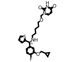 O=c1ccn(COCCCCCN[C@@H](c2ccc(F)c(OCC3CC3)c2)c2cccs2)c(=O)[nH]1